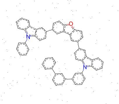 c1ccc(-c2cccc(-c3cccc(-n4c5ccccc5c5cc(-c6ccc7oc8ccc(-c9ccc%10c(c9)c9ccccc9n%10-c9ccccc9)cc8c7c6)ccc54)c3)c2)cc1